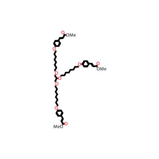 COC(=O)C=Cc1ccc(OCCCCCCCCOCC(COCCCCCCCCOc2ccc(C=CC(=O)OC)cc2)OCCCCCCCCOc2ccc(C=CC(=O)OC)cc2)cc1